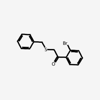 O=C(CSCc1ccccc1)c1ccccc1Br